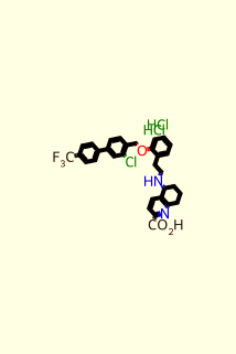 Cl.Cl.O=C(O)c1ccc2c(n1)CCCC2NCCc1ccccc1OCc1ccc(-c2ccc(C(F)(F)F)cc2)cc1Cl